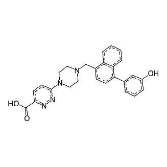 O=C(O)c1ccc(N2CCN(Cc3ccc(-c4cccc(O)c4)c4ccccc34)CC2)nn1